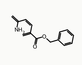 C=C(N)/C=C\C(=C)C(=O)OCc1ccccc1